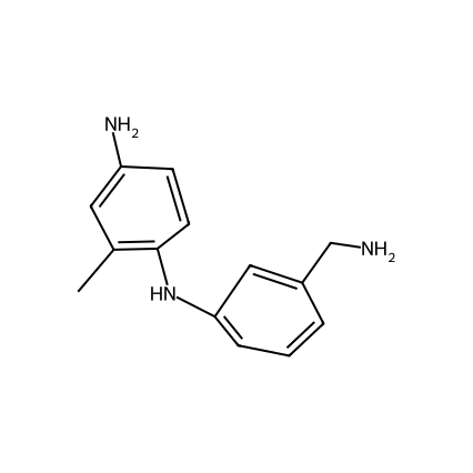 Cc1cc(N)ccc1Nc1cccc(CN)c1